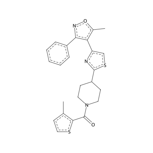 Cc1ccsc1C(=O)N1CCC(c2nc(-c3c(-c4ccccc4)noc3C)cs2)CC1